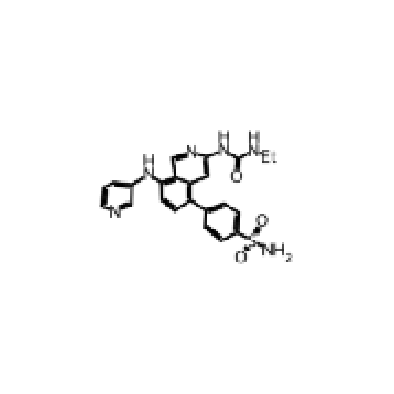 CCNC(=O)Nc1cc2c(-c3ccc(S(N)(=O)=O)cc3)ccc(Nc3cccnc3)c2cn1